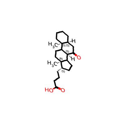 C[C@]12CCC3[C@@H](C(=O)C[C@@H]4CCCC[C@]34C)C1CC[C@@H]2CCCC(=O)O